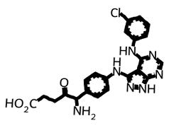 NC(C(=O)CCC(=O)O)c1ccc(Nc2n[nH]c3ncnc(Nc4cccc(Cl)c4)c23)cc1